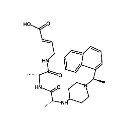 C[C@H](c1cccc2ccccc12)N1CCC(N[C@H](C)C(=O)N[C@H](C)C(=O)NC/C=C/C(=O)O)CC1